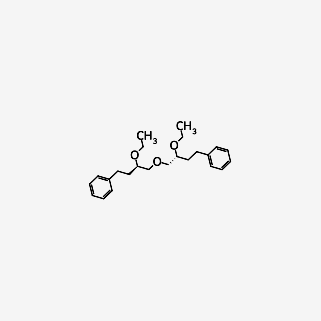 CCO[C@H](CCc1ccccc1)COC[C@@H](CCc1ccccc1)OCC